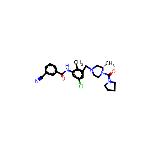 Cc1c(CN2CCN(C(=O)N3CCCC3)[C@@H](C)C2)cc(Cl)cc1NC(=O)c1cccc(C#N)c1